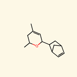 CC1=CC(C2CC3C=CC2C3)OC(C)C1